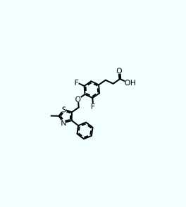 Cc1nc(-c2ccccc2)c(COc2c(F)cc(CCC(=O)O)cc2F)s1